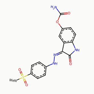 CNS(=O)(=O)c1ccc(NN=C2C(=O)Nc3ccc(OC(N)=O)cc32)cc1